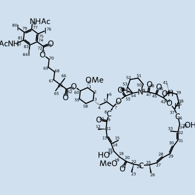 CO[C@@H]1C[C@H](C[C@@H](C)[C@@H]2CC(=O)[C@H](C)/C=C(\C)[C@@H](O)[C@@H](OC)C(=O)[C@H](C)C[C@H](C)/C=C/C=C/C=C(\C)[C@@H](O)C[C@@H]3CC[C@@H](C)[C@@](O)(O3)C(=O)C(=O)N3CCCC[C@H]3C(=O)O2)CC[C@H]1OC(=O)C(C)(C)CCCCOC(=O)c1c(I)c(NC(C)=O)c(I)c(NC(C)=O)c1I